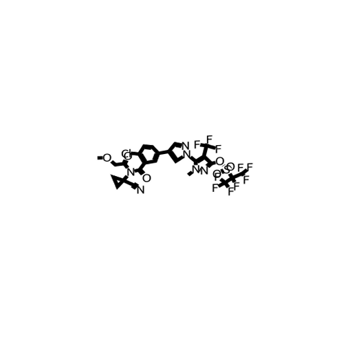 COCC(=O)N(C(=O)c1cc(-c2cnn(-c3c(C(F)(F)F)c(OS(=O)(=O)C(F)(C(F)(F)F)C(F)(F)F)nn3C)c2)ccc1Cl)C1(C#N)CC1